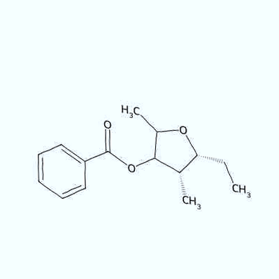 CC[C@H]1OC(C)C(OC(=O)c2ccccc2)[C@H]1C